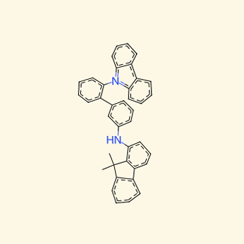 CC1(C)c2ccccc2-c2cccc(Nc3cccc(-c4ccccc4-n4c5ccccc5c5ccccc54)c3)c21